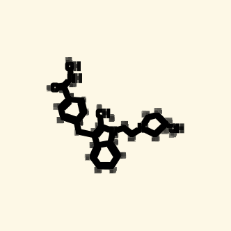 Cc1c(Cc2ccc(C(=O)NO)cc2)c2ccccc2n1CCN1CC[C@H](O)C1